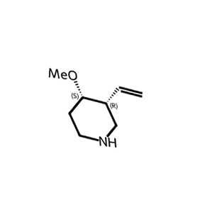 C=C[C@@H]1CNCC[C@@H]1OC